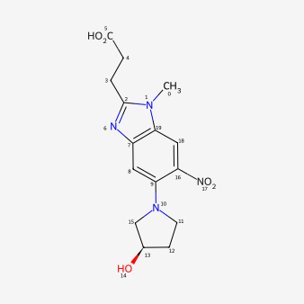 Cn1c(CCC(=O)O)nc2cc(N3CC[C@@H](O)C3)c([N+](=O)[O-])cc21